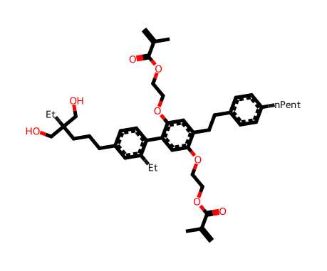 C=C(C)C(=O)OCCOc1cc(-c2ccc(CCCC(CC)(CO)CO)cc2CC)c(OCCOC(=O)C(=C)C)cc1CCc1ccc(CCCCC)cc1